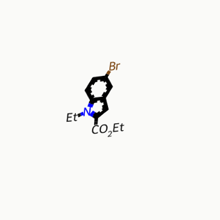 CCOC(=O)c1cc2cc(Br)ccc2n1CC